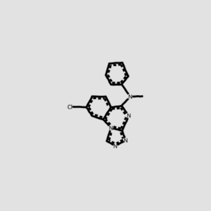 CN(c1ccccc1)c1nc2nncn2c2cc(Cl)ccc12